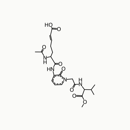 COC(=O)C(NC(=O)Cn1cccc(NC(=O)C(CCC=CC(=O)O)NC(C)=O)c1=O)C(C)C